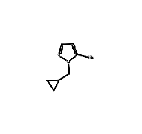 CCC(C)c1ccnn1CC1CC1